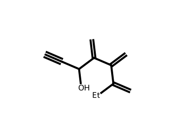 C#CC(O)C(=C)C(=C)C(=C)CC